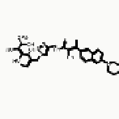 C/C=C(/Cn1cc(CNC(=O)/C(C#N)=C(\C)c2ccc3cc(N4CCCCC4)ccc3c2)nn1)[C@@H](O)/C(O)=C(/O)[C@H](O)OC